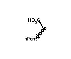 CCCCCc1cnc(-c2ccc(-c3ccc(C4(CCCCCCCCC(=O)O)CCCC4)cc3)cc2)nc1